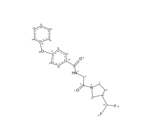 O=C(NCC(=O)N1CCC(C(F)F)C1)c1ccc(Oc2ccccc2)cc1